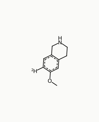 [2H]c1cc2c(cc1OC)CCNC2